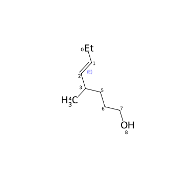 CC/C=C/C(C)CCCO